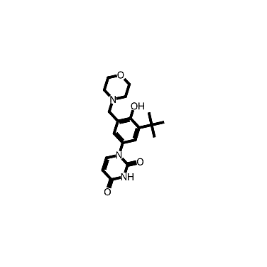 CC(C)(C)c1cc(-n2ccc(=O)[nH]c2=O)cc(CN2CCOCC2)c1O